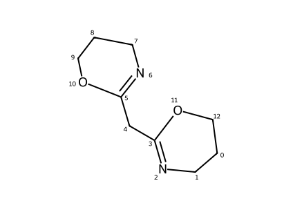 C1CN=C(CC2=NCCCO2)OC1